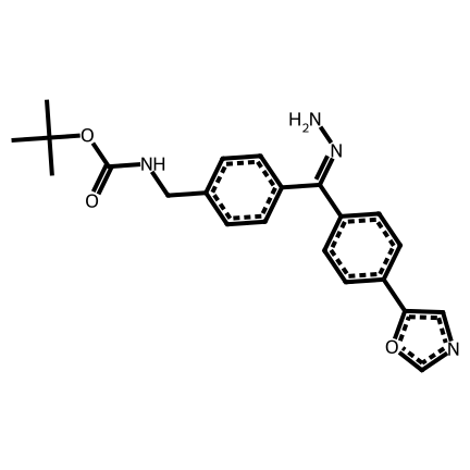 CC(C)(C)OC(=O)NCc1ccc(/C(=N\N)c2ccc(-c3cnco3)cc2)cc1